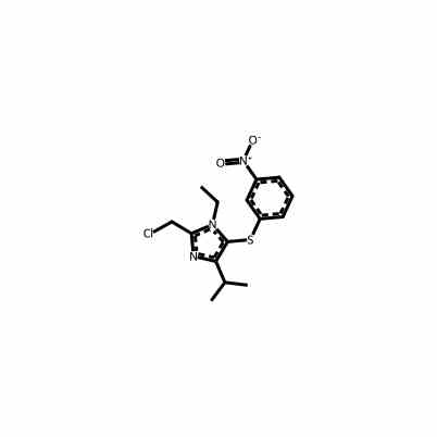 CCn1c(CCl)nc(C(C)C)c1Sc1cccc([N+](=O)[O-])c1